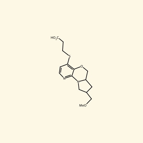 COCC1CC2COc3c(SCCC(=O)O)ccnc3N2C1